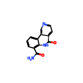 NC(=O)c1cccc2c1[nH]c(=O)c1ccncc12